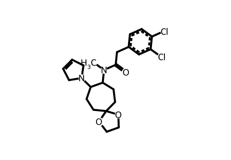 CN(C(=O)Cc1ccc(Cl)c(Cl)c1)C1CCC2(CCC1N1CC=CC1)OCCO2